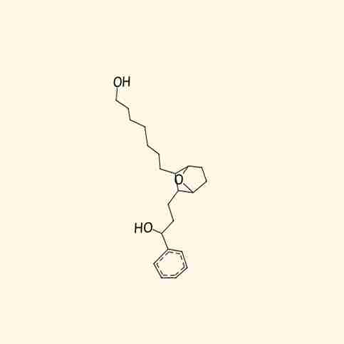 OCCCCCCCC1C2CCC(O2)C1CCC(O)c1ccccc1